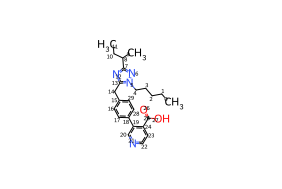 CCCCCn1nc(C(C)CC)nc1Cc1ccc(-c2cnccc2C(=O)O)cc1